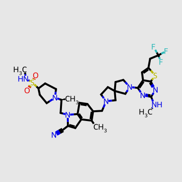 CNc1nc(N2CCC3(CCN(Cc4ccc5c(cc(C#N)n5C[C@H](C)N5CCC(S(=O)(=O)NC)CC5)c4C)C3)C2)c2cc(CC(F)(F)F)sc2n1